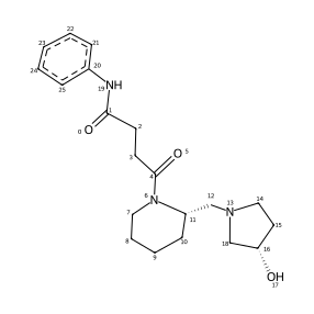 O=C(CCC(=O)N1CCCC[C@H]1CN1CC[C@H](O)C1)Nc1ccccc1